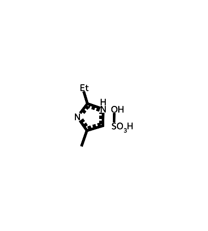 CCc1nc(C)c[nH]1.O=S(=O)(O)O